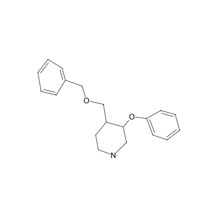 c1ccc(COCC2CC[N]CC2Oc2ccccc2)cc1